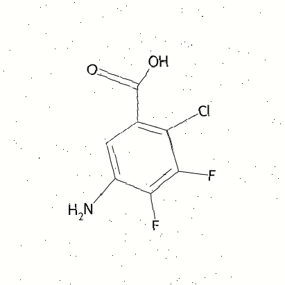 Nc1cc(C(=O)O)c(Cl)c(F)c1F